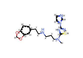 CN(CCCNCCc1ccc2c(c1)OCO2)c1nc(-n2ccnc2)ns1